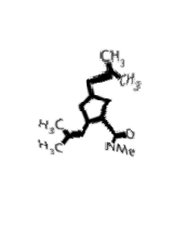 CNC(=O)C1CC(C=C(C)C)CC1C=C(C)C